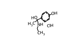 CCNC(C)(O)c1ccc(O)cc1.Cl